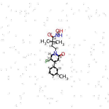 Cc1cccc(-c2cc(=O)n(CCC(C)(C)C(=O)NO)cc2F)c1